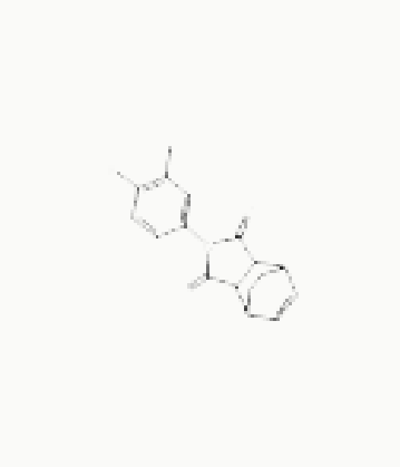 Cc1cc(N2C(=O)C3C4C=CC(CC4)C3C2=O)ccc1Br